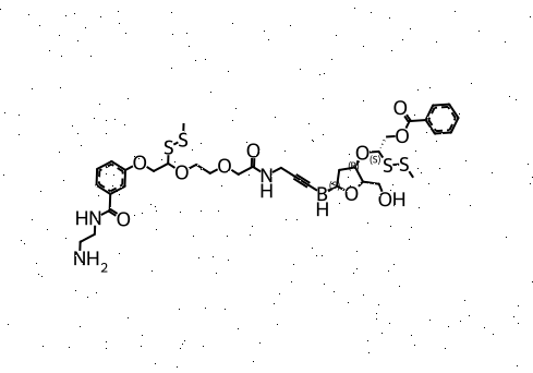 CSSC(COc1cccc(C(=O)NCCN)c1)OCCOCC(=O)NCC#CB[C@H]1C[C@@H](O[C@H](COC(=O)c2ccccc2)SSC)C(CO)O1